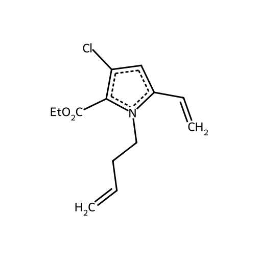 C=CCCn1c(C=C)cc(Cl)c1C(=O)OCC